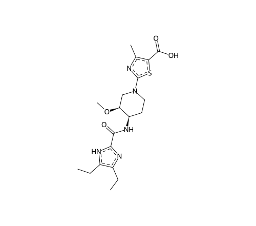 CCc1nc(C(=O)N[C@@H]2CCN(c3nc(C)c(C(=O)O)s3)C[C@@H]2OC)[nH]c1CC